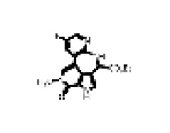 CCOC(=O)C1Nc2ncc(F)cc2-c2cn(C)c(=O)c3[nH]cc1c23